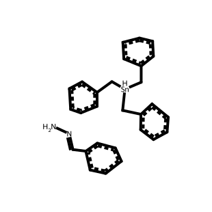 NN=Cc1ccccc1.c1ccc([CH2][SnH]([CH2]c2ccccc2)[CH2]c2ccccc2)cc1